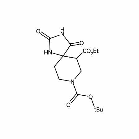 CCOC(=O)C1CN(C(=O)OC(C)(C)C)CCC12NC(=O)NC2=O